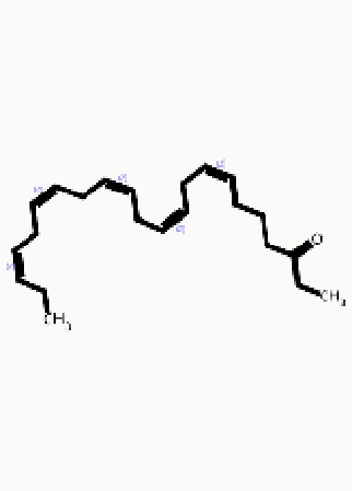 CC/C=C\C/C=C\C/C=C\C/C=C\C/C=C\CCCC(=O)CC